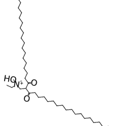 CCCCCCCCCCCCCCCCCC(=O)C(C[N+](C)(O)CC)C(=O)CCCCCCCCCCCCCCCCC